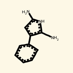 Nc1cc(-c2ccccc2)c(N)[nH]1